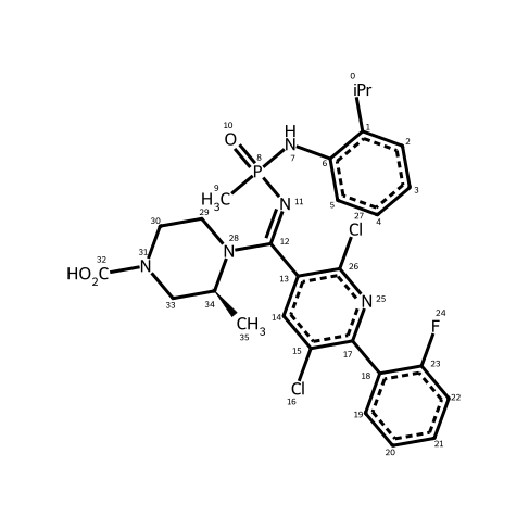 CC(C)c1ccccc1NP(C)(=O)/N=C(/c1cc(Cl)c(-c2ccccc2F)nc1Cl)N1CCN(C(=O)O)C[C@@H]1C